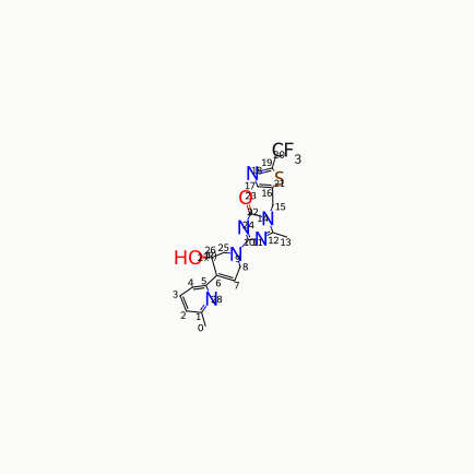 Cc1cccc(C2=CCN(c3nc(C)n(Cc4cnc(C(F)(F)F)s4)c(=O)n3)C[C@@H]2O)n1